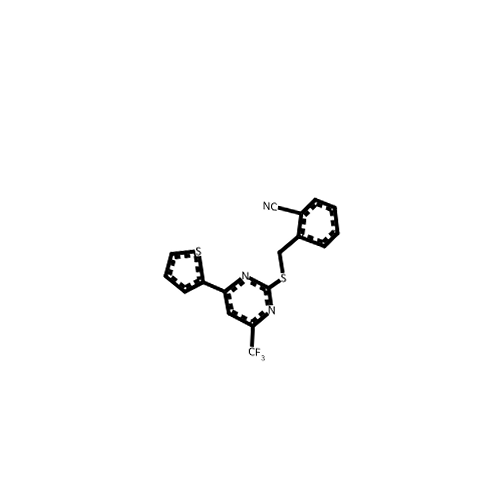 N#Cc1ccccc1CSc1nc(-c2cccs2)cc(C(F)(F)F)n1